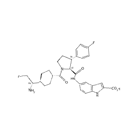 N[C@H](CF)[C@H]1CC[C@H](C(=O)N2CC[C@H](c3ccc(F)cc3)[C@H]2C(=O)Nc2ccc3[nH]c(C(=O)O)cc3c2)CC1